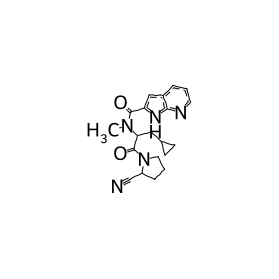 CN(C(=O)c1cc2cccnc2[nH]1)C(CC1CC1)C(=O)N1CCCC1C#N